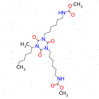 CCCCCC(C)n1c(=O)n(CCCCCCNC(=O)OC)c(=O)n(CCCCCCNC(=O)OC)c1=O